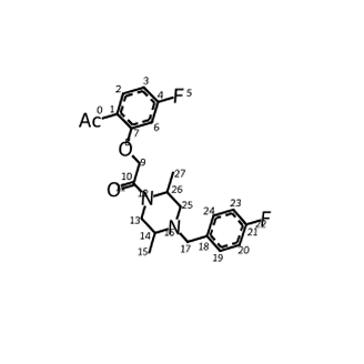 CC(=O)c1ccc(F)cc1OCC(=O)N1CC(C)N(Cc2ccc(F)cc2)CC1C